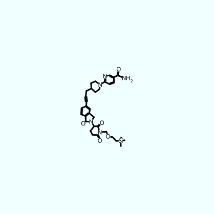 C[Si](C)(C)CCOCN1C(=O)CCC(N2Cc3cc(C#CCC4CCN(c5ccc(C(N)=O)cn5)CC4)ccc3C2=O)C1=O